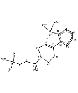 O=C(CCC(F)(F)F)N1CC=C(c2cccnc2C(F)(F)F)CC1